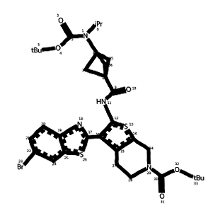 CC(C)N(C(=O)OC(C)(C)C)C12CC(C(=O)Nc3sc4c(c3-c3nc5ccc(Br)cc5s3)CCN(C(=O)OC(C)(C)C)C4)(C1)C2